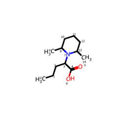 CCCC(C(=O)O)N1C(C)CCCC1C